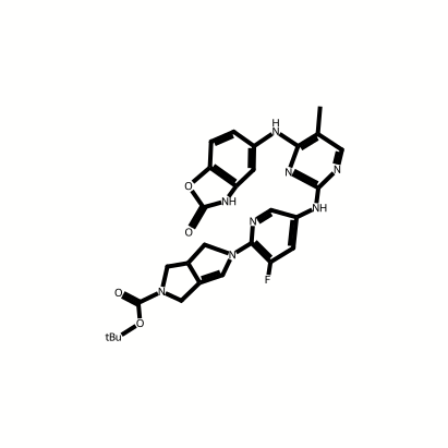 Cc1cnc(Nc2cnc(N3C=C4CN(C(=O)OC(C)(C)C)CC4C3)c(F)c2)nc1Nc1ccc2oc(=O)[nH]c2c1